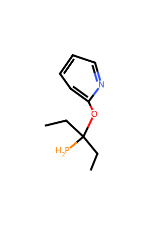 CCC(P)(CC)Oc1ccccn1